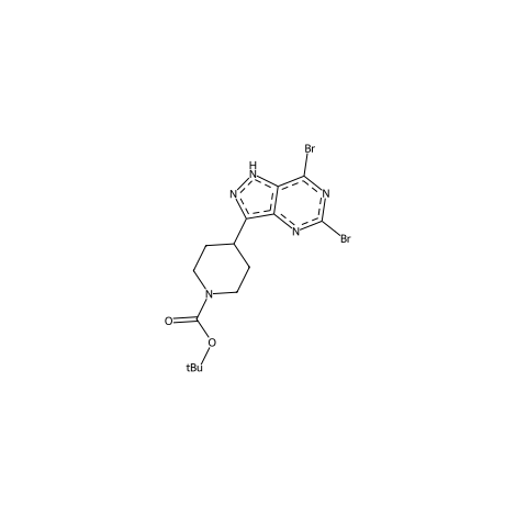 CC(C)(C)OC(=O)N1CCC(c2n[nH]c3c(Br)nc(Br)nc23)CC1